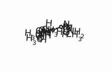 COC(=O)N[C@H](C(=O)N[C@@H](C)c1ncc(-c2ccc(C#Cc3ccc(-c4cnc([C@@H]5CCCN5C(=O)[C@@H](N)[C@@H](C)O)[nH]4)cc3)cc2)[nH]1)[C@@H](C)O